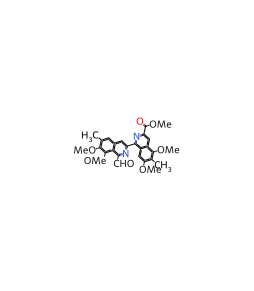 COC(=O)c1cc2c(OC)c(C)c(OC)cc2c(-c2cc3cc(C)c(OC)c(OC)c3c(C=O)n2)n1